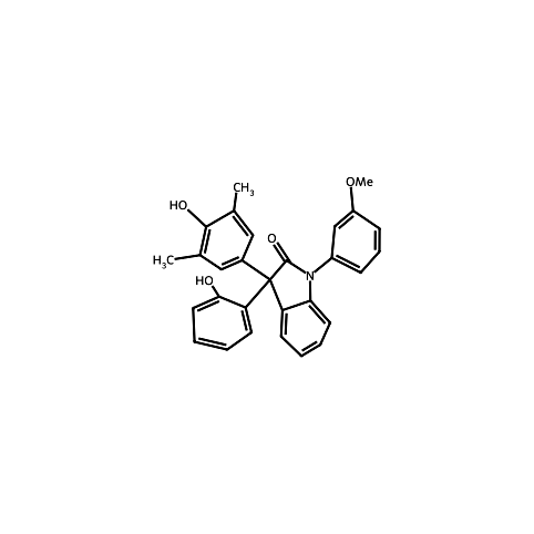 COc1cccc(N2C(=O)C(c3cc(C)c(O)c(C)c3)(c3ccccc3O)c3ccccc32)c1